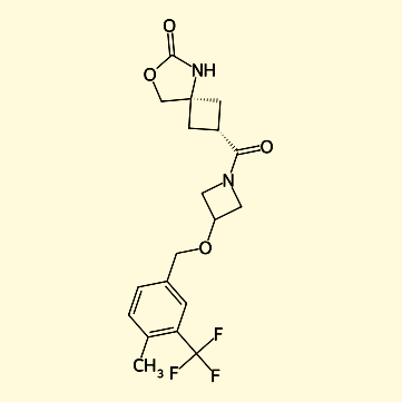 Cc1ccc(COC2CN(C(=O)[C@H]3C[C@@]4(COC(=O)N4)C3)C2)cc1C(F)(F)F